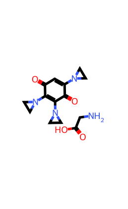 NCC(=O)O.O=C1C=C(N2CC2)C(=O)C(N2CC2)=C1N1CC1